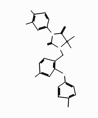 CC1(C)C(=O)N(c2ccc(C#N)c(C(F)(F)F)c2)C(=O)N1Cc1ccc(C(=O)O)cc1Nc1ccc(F)cc1